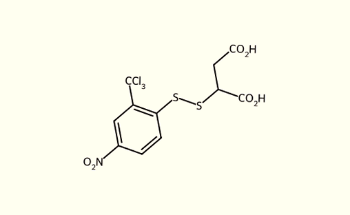 O=C(O)CC(SSc1ccc([N+](=O)[O-])cc1C(Cl)(Cl)Cl)C(=O)O